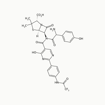 CC1(C)S[C@@H]2[C@H](N(C(=O)c3cnc(-c4ccc(NC(=O)C(F)(F)F)cc4)nc3O)C(=O)C(N)c3ccc(O)cc3)C(=O)N2[C@H]1C(=O)O